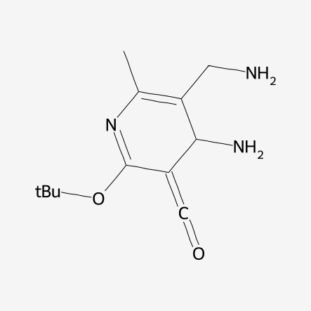 CC1=C(CN)C(N)C(=C=O)C(OC(C)(C)C)=N1